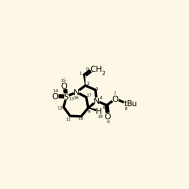 C=C[C@H]1CN(C(=O)OC(C)(C)C)[C@@H]2CCCS(=O)(=O)N1C2